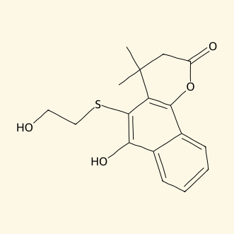 CC1(C)CC(=O)Oc2c1c(SCCO)c(O)c1ccccc21